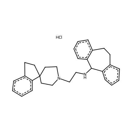 Cl.c1ccc2c(c1)CCc1ccccc1C2NCCN1CCC2(CCc3ccccc32)CC1